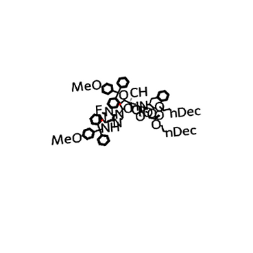 C#C[C@]1(COP(=O)(N[C@@H](Cc2ccccc2)C(=O)OCCCCCCCCCCCC)OCC(=O)OCCCCCCCCCCCC)O[C@@H](n2cnc3c(NC(c4ccccc4)(c4ccccc4)c4ccc(OC)cc4)nc(F)nc32)C[C@@H]1OC(c1ccccc1)(c1ccccc1)c1ccc(OC)cc1